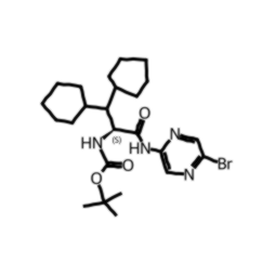 CC(C)(C)OC(=O)N[C@H](C(=O)Nc1cnc(Br)cn1)C(C1CCCCC1)C1CCCCC1